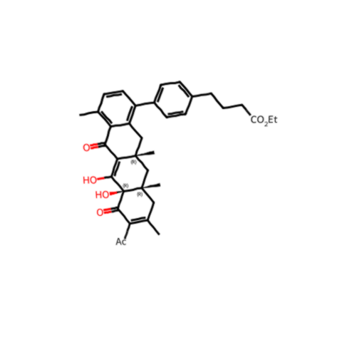 CCOC(=O)CCCc1ccc(-c2ccc(C)c3c2C[C@]2(C)C[C@]4(C)CC(C)=C(C(C)=O)C(=O)[C@]4(O)C(O)=C2C3=O)cc1